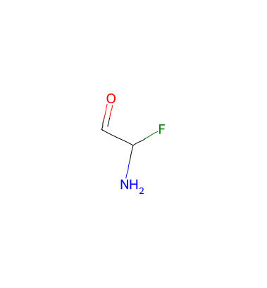 NC(F)C=O